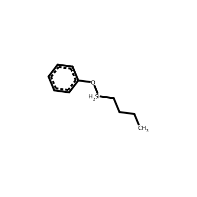 CCCC[SiH2]Oc1ccccc1